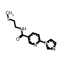 CSCCNC(=O)c1ccc(-n2ccnc2)nc1